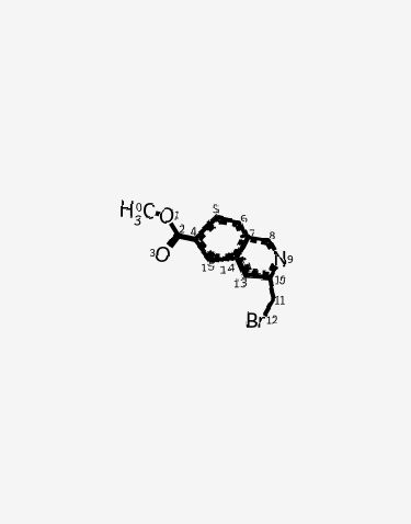 COC(=O)c1ccc2cnc(CBr)cc2c1